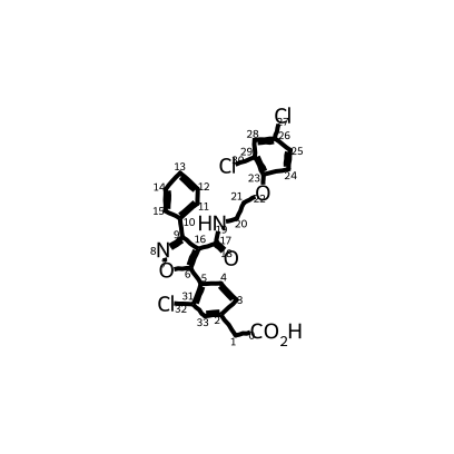 O=C(O)Cc1ccc(-c2onc(-c3ccccc3)c2C(=O)NCCOc2ccc(Cl)cc2Cl)c(Cl)c1